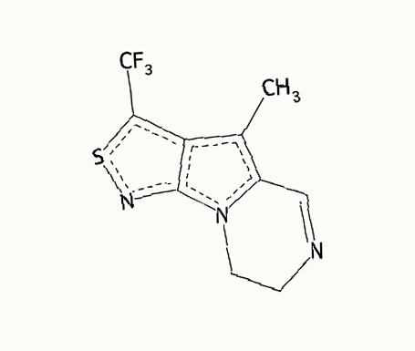 Cc1c2n(c3nsc(C(F)(F)F)c13)CCN=C2